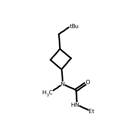 CCNC(=O)N(C)C1CC(CC(C)(C)C)C1